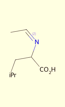 C/C=N\C(CC(C)C)C(=O)O